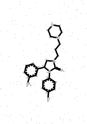 O=C1N(CCCN2CCOCC2)CC(c2cccc(C(F)(F)F)c2)N1c1ccc(Cl)cc1